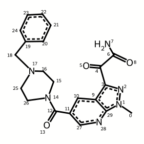 Cn1nc(C(=O)C(N)=O)c2cc(C(=O)N3CCN(Cc4ccccc4)CC3)cnc21